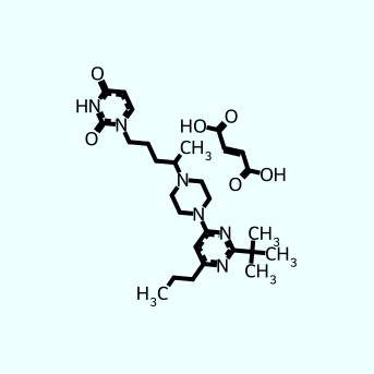 CCCc1cc(N2CCN(C(C)CCCn3ccc(=O)[nH]c3=O)CC2)nc(C(C)(C)C)n1.O=C(O)C=CC(=O)O